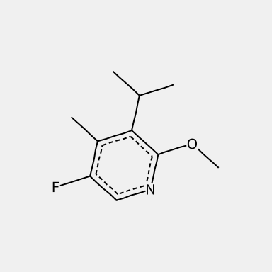 COc1ncc(F)c(C)c1C(C)C